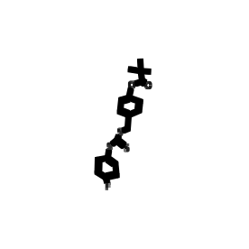 CC(C)(C)C(=O)Oc1ccc(CSC(=S)Sc2ccc(F)cc2)cc1